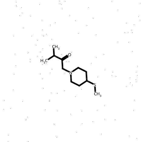 CSC1CCN(CC(=O)C(C)C)CC1